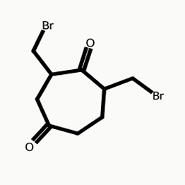 O=C1CCC(CBr)C(=O)C(CBr)C1